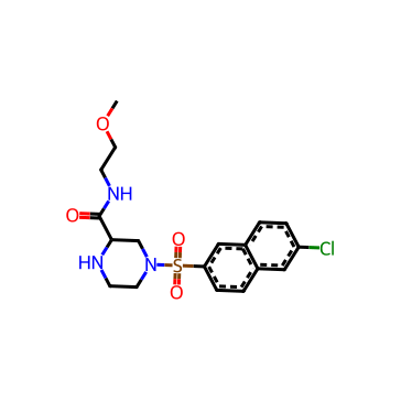 COCCNC(=O)C1CN(S(=O)(=O)c2ccc3cc(Cl)ccc3c2)CCN1